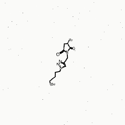 CC(C)C1CC(=O)N(Cc2cn(CCCCC(C)(C)C)nn2)C1=O